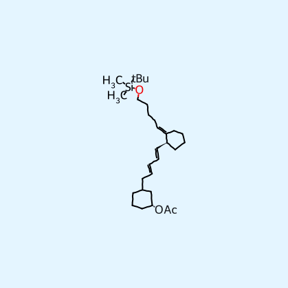 CC(=O)O[C@@H]1CCCC(C/C=C/C=C/[C@@H]2CCCC/C2=C\CCCCO[Si](C)(C)C(C)(C)C)C1